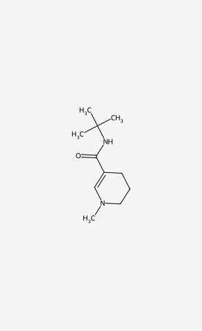 CN1C=C(C(=O)NC(C)(C)C)CCC1